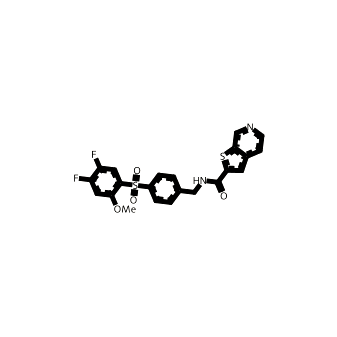 COc1cc(F)c(F)cc1S(=O)(=O)c1ccc(CNC(=O)c2cc3ccncc3s2)cc1